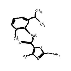 Cc1cccc(C(C)C)c1NC(=O)c1sc(N)nc1C